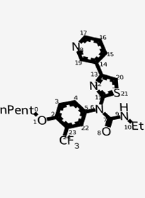 CCCCCOc1ccc(N(C(=O)NCC)c2nc(-c3cccnc3)cs2)cc1C(F)(F)F